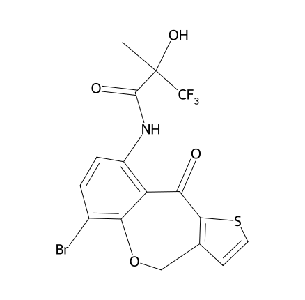 CC(O)(C(=O)Nc1ccc(Br)c2c1C(=O)c1sccc1CO2)C(F)(F)F